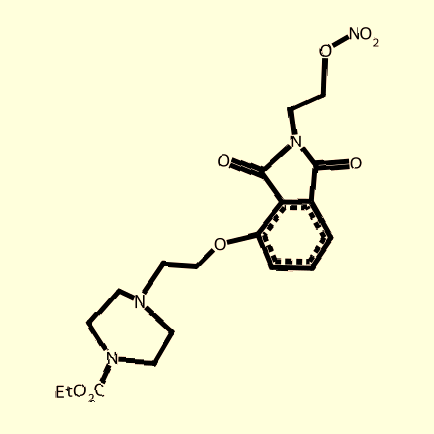 CCOC(=O)N1CCN(CCOc2cccc3c2C(=O)N(CCO[N+](=O)[O-])C3=O)CC1